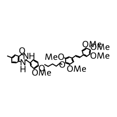 COc1cc(C2NC(=O)c3cc(C)ccc3N2)ccc1OCCCCCOc1c(OC)cc(C=Cc2cc(OC)c(OC)c(OC)c2)cc1OC